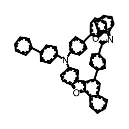 c1ccc(-c2ccc(N(c3ccc(-c4ccccc4)cc3)c3ccc4oc5c6ccccc6cc(-c6ccc(-c7nc8ccccc8o7)cc6)c5c4c3)cc2)cc1